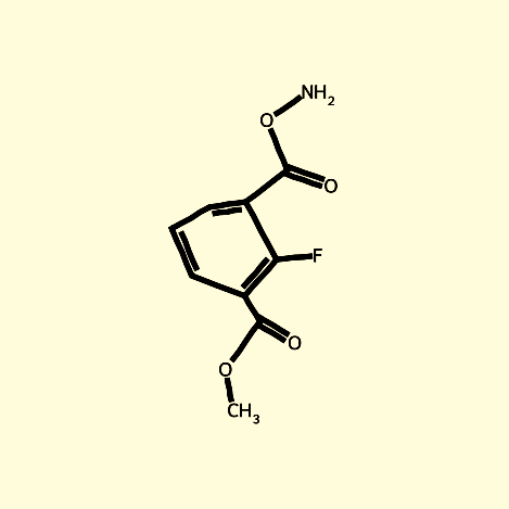 COC(=O)c1cccc(C(=O)ON)c1F